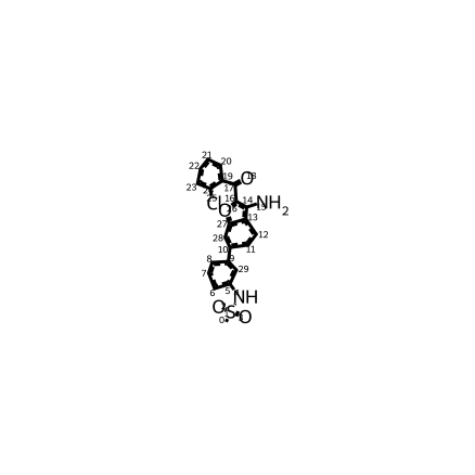 CS(=O)(=O)Nc1cccc(-c2ccc3c(N)c(C(=O)c4ccccc4Cl)oc3c2)c1